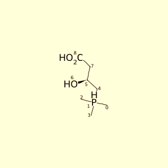 C[PH](C)(C)C[C@@H](O)CC(=O)O